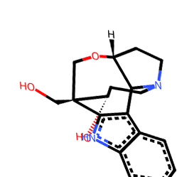 OC[C@@]12CO[C@@H]3CCN(CC[C@@H]1O)C3c1c2[nH]c2ccccc12